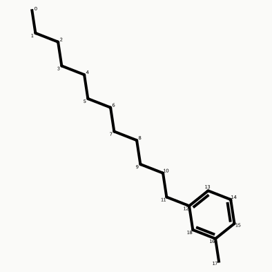 CCCCCCCCCCCCc1cccc(C)c1